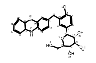 OC[C@H]1O[C@@H](c2ccc(Cl)c(Cc3ccc4c(c3)SC3C=CC=CC3N4)c2)[C@H](O)[C@@H](O)[C@@H]1O